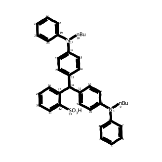 CCCCN(c1ccccc1)c1ccc(C(c2ccc(N(CCCC)c3ccccc3)cc2)c2ccccc2S(=O)(=O)O)cc1